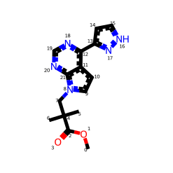 COC(=O)C(C)(C)Cn1ccc2c(-c3cc[nH]n3)ncnc21